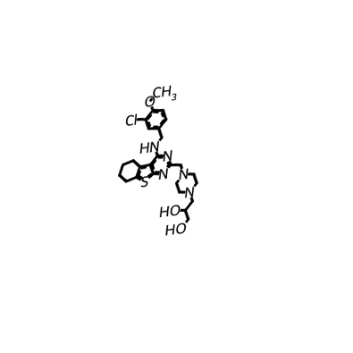 COc1ccc(CNc2nc(CN3CCN(CC(O)CO)CC3)nc3sc4c(c23)CCCC4)cc1Cl